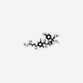 C#CC(C)(c1ccc(Cl)cc1)c1csc(NC(=O)c2c(F)cc(NCCNC)cc2F)n1